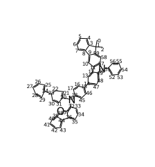 CC1(C)c2ccccc2-c2cc3c4cc(-c5ccc(N(C6=CCC(c7ccccc7)C=C6)c6cccc7c6oc6ccccc67)cc5)ccc4n(-c4ccccc4)c3cc21